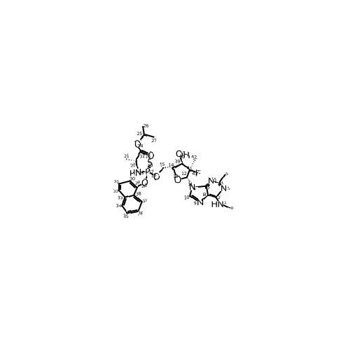 CNc1nc(C)nc2c1ncn2[C@@H]1O[C@H](CO[P@](=S)(N[C@H](C)C(=O)OC(C)C)Oc2cccc3ccccc23)[C@@H](O)[C@@]1(C)F